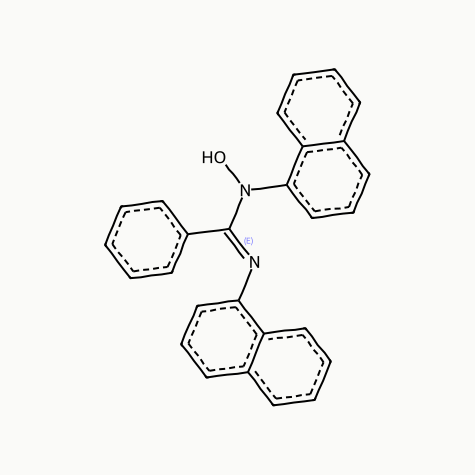 ON(/C(=N/c1cccc2ccccc12)c1ccccc1)c1cccc2ccccc12